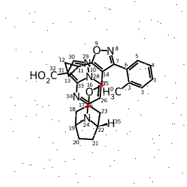 Cc1ccccc1-c1noc(C2CC2)c1COC1CC2CC[C@@H](C1)N2c1ccn2ncc(C(=O)O)c2n1